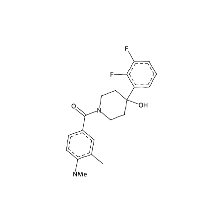 CNc1ccc(C(=O)N2CCC(O)(c3cccc(F)c3F)CC2)cc1C